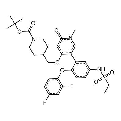 CCS(=O)(=O)Nc1ccc(Oc2ccc(F)cc2F)c(-c2cn(C)c(=O)cc2OCC2CCN(C(=O)OC(C)(C)C)CC2)c1